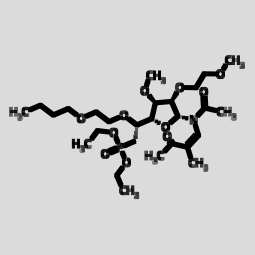 CCCCOCCO[C@@H](CP(=O)(OCC)OCC)[C@H]1O[C@@H](N(/C=C(/C)C(C)=O)C(C)=O)[C@H](OCCOC)[C@@H]1OC